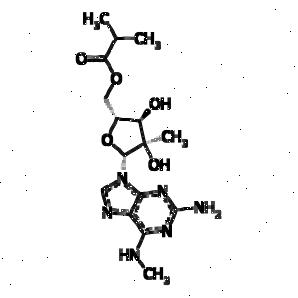 CNc1nc(N)nc2c1ncn2[C@@H]1O[C@H](COC(=O)C(C)C)[C@@H](O)[C@@]1(C)O